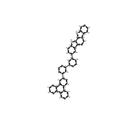 c1cc(-c2cccc(-c3ccc4c5ccccc5c5ccccc5c4c3)c2)cc(-c2ccc3oc4c(ccc5c6ccccc6oc54)c3c2)c1